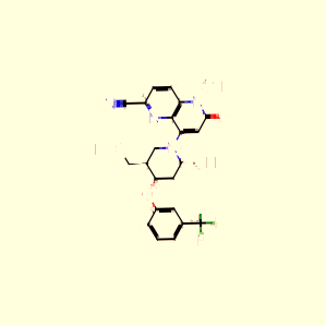 CC[C@H]1CN(c2cc(=O)n(C)c3ccc(C#N)nc23)[C@H](C)C[C@H]1Oc1cccc(C(F)(F)F)c1